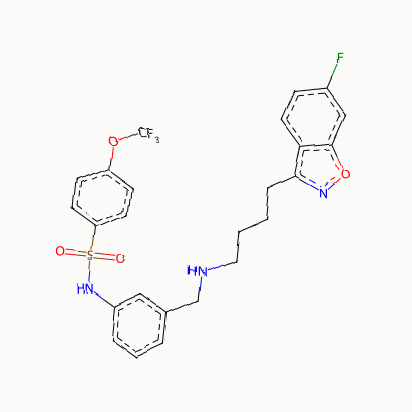 O=S(=O)(Nc1cccc(CNCCCCc2noc3cc(F)ccc23)c1)c1ccc(OC(F)(F)F)cc1